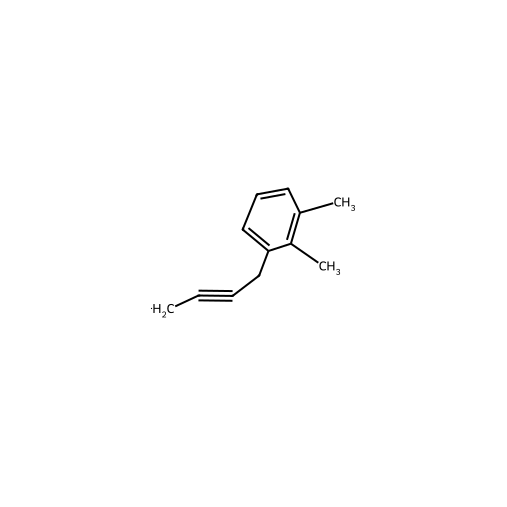 [CH2]C#CCc1cccc(C)c1C